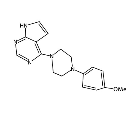 COc1ccc(N2CCN(c3ncnc4[nH]ccc34)CC2)cc1